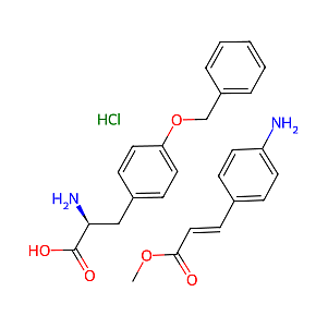 COC(=O)C=Cc1ccc(N)cc1.Cl.N[C@@H](Cc1ccc(OCc2ccccc2)cc1)C(=O)O